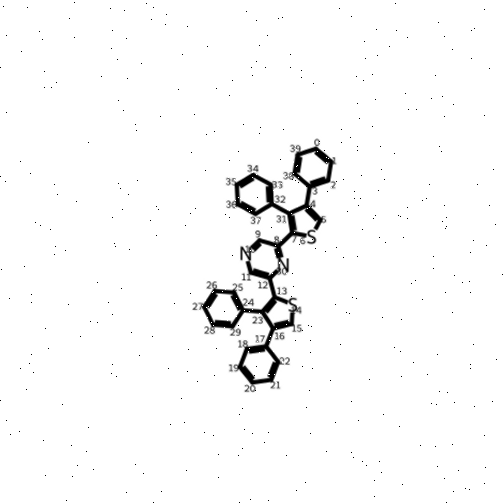 c1ccc(-c2csc(-c3cncc(-c4scc(-c5ccccc5)c4-c4ccccc4)n3)c2-c2ccccc2)cc1